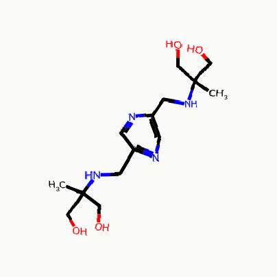 CC(CO)(CO)NCc1cnc(CNC(C)(CO)CO)cn1